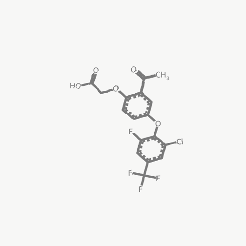 CC(=O)c1cc(Oc2c(F)cc(C(F)(F)F)cc2Cl)ccc1OCC(=O)O